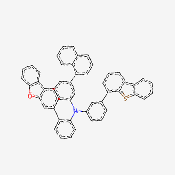 c1cc(-c2cccc3ccccc23)cc(N(c2cccc(-c3cccc4c3sc3ccccc34)c2)c2ccccc2-c2ccc3c(c2)oc2ccccc23)c1